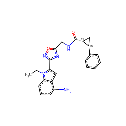 Nc1cccc2c1cc(-c1noc(CNC(=O)[C@@H]3C[C@H]3c3ccccc3)n1)n2CC(F)(F)F